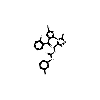 CCc1cc(C(=O)c2ccccc2F)c(-n2c(C)nnc2CNC(=O)Nc2cccc(C)c2)s1